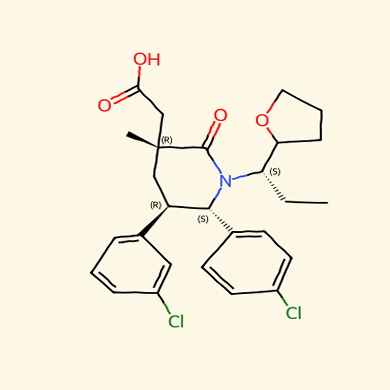 CC[C@@H](C1CCCO1)N1C(=O)[C@@](C)(CC(=O)O)C[C@H](c2cccc(Cl)c2)[C@H]1c1ccc(Cl)cc1